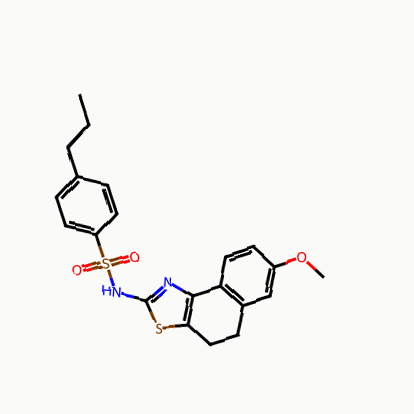 CCCc1ccc(S(=O)(=O)Nc2nc3c(s2)CCc2cc(OC)ccc2-3)cc1